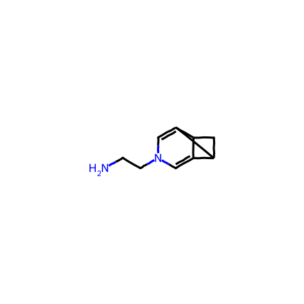 NCCN1C=C2C3CC2C3=C1